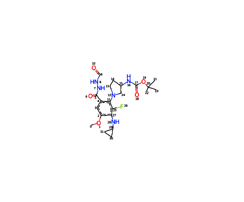 COc1cc(C(=O)NNC=O)c(N2CCC(NC(=O)OC(C)(C)C)C2)c(F)c1NC1CC1